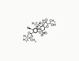 CC(O)C(OC1=CC(Oc2ccc(C#N)c(C(=O)OC(C)(C)C)c2)([N+](=O)[O-])NC(S(C)(=O)=O)=N1)C(=O)O